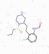 CCC[S+]([O-])N1CCNCC1CCc1c(F)cccc1NC=O